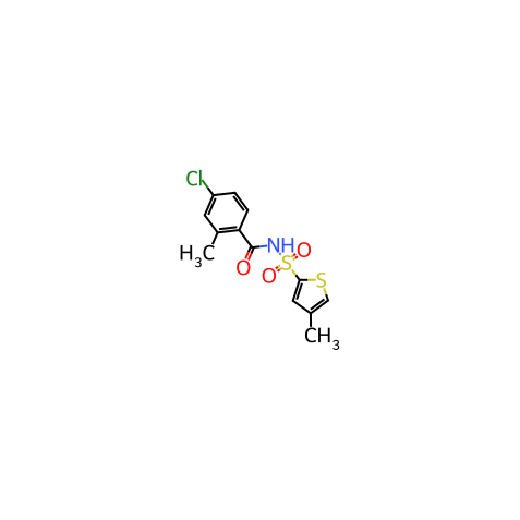 Cc1csc(S(=O)(=O)NC(=O)c2ccc(Cl)cc2C)c1